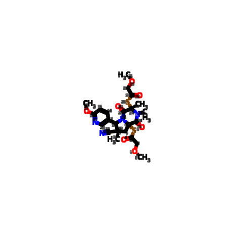 COCC(=O)SC12C[C@](C)(C#N)C(c3ccc(OC)nc3)N1C(=O)[C@](C)(SC(=O)COC)N(C)C2=O